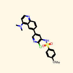 COc1ccc(S(=O)(=O)Nc2cc(-c3ccc4nccc(N(C)C)c4c3)cnc2Cl)cc1